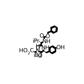 CC[C@H](C)[C@H](NC(=O)[C@H](Cc1ccc(O)cc1)NC(=O)[C@@H](NC(=O)OCc1ccccc1)C(C)C)C(=O)O